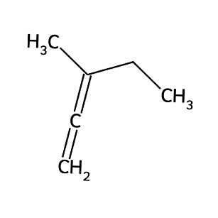 C=C=C(C)CC